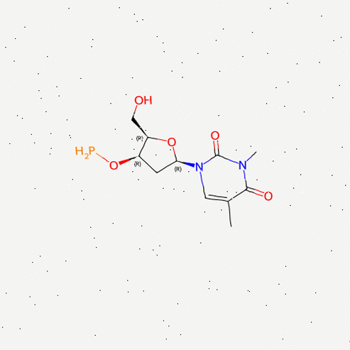 Cc1cn([C@H]2C[C@@H](OP)[C@@H](CO)O2)c(=O)n(C)c1=O